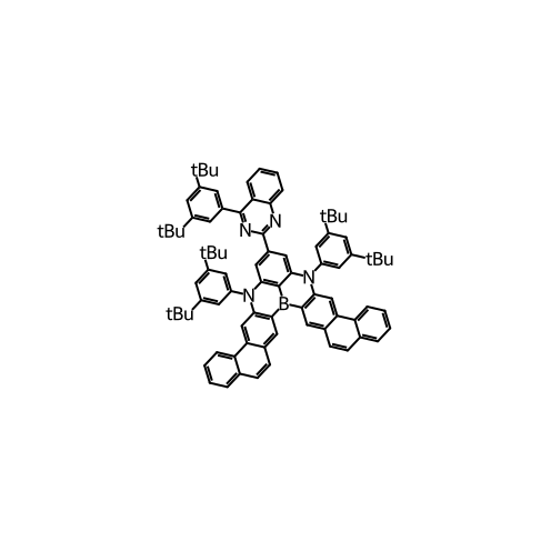 CC(C)(C)c1cc(-c2nc(-c3cc4c5c(c3)N(c3cc(C(C)(C)C)cc(C(C)(C)C)c3)c3cc6c(ccc7ccccc76)cc3B5c3cc5ccc6ccccc6c5cc3N4c3cc(C(C)(C)C)cc(C(C)(C)C)c3)nc3ccccc23)cc(C(C)(C)C)c1